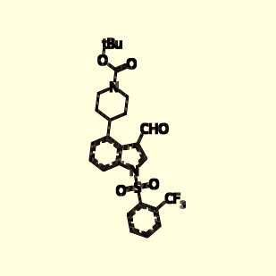 CC(C)(C)OC(=O)N1CCC(c2cccc3c2c(C=O)cn3S(=O)(=O)c2ccccc2C(F)(F)F)CC1